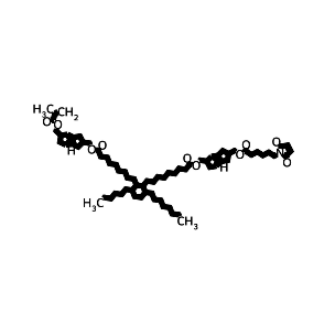 C=C(C)C(=O)OCC1CC2CC1C1CC(COC(=O)CCCCCCCCC3C(CCCCCC)CCC(CCCCCCCC)C3CCCCCCCCC(=O)OCC3CC4CC3C3CC(COC(=O)CCCCCN5C(=O)C=CC5=O)C[C@H]43)C[C@H]21